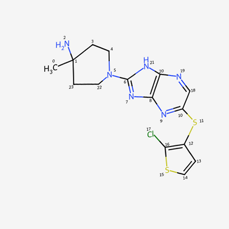 CC1(N)CCN(c2nc3nc(Sc4ccsc4Cl)cnc3[nH]2)CC1